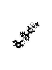 CC1C=C(c2cnc(N(C)Cc3c(F)ccc4c3CCO4)n3cnnc23)CC(C)N1C(=O)OC(C)(C)C